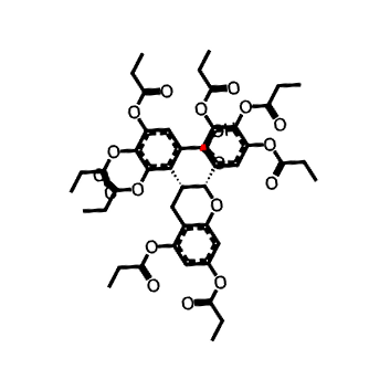 CCC(=O)Oc1cc(OC(=O)CC)c2c(c1)O[C@@H](c1cc(OC(=O)CC)c(OC(=O)CC)c(OC(=O)CC)c1)[C@@H](c1c(C(=O)O)cc(OC(=O)CC)c(OC(=O)CC)c1OC(=O)CC)C2